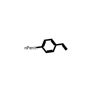 C=Cc1ccc(CCCCC)cc1